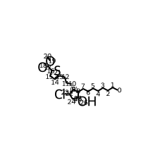 CCCCCCCCC1[C@@H](CCCC2=CCC(C(=O)OC)S2)C(Cl)C[C@H]1O